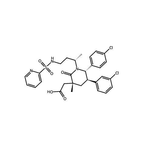 C[C@@H](CCNS(=O)(=O)c1ccccn1)N1C(=O)[C@@](C)(CC(=O)O)C[C@H](c2cccc(Cl)c2)[C@H]1c1ccc(Cl)cc1